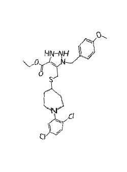 CCOC(=O)C1=C(CSC2CCN(c3cc(Cl)ccc3Cl)CC2)N(Cc2ccc(OC)cc2)NN1